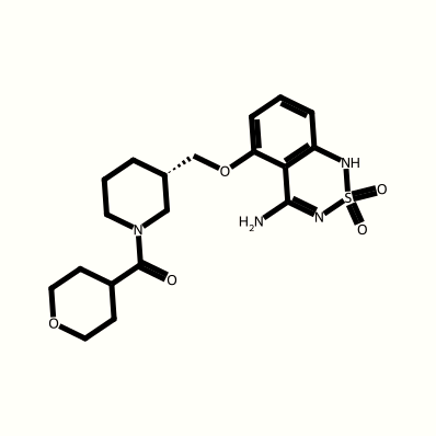 NC1=NS(=O)(=O)Nc2cccc(OC[C@H]3CCCN(C(=O)C4CCOCC4)C3)c21